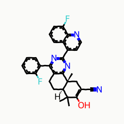 CC1(C)C(O)=C(C#N)C[C@@]2(C)c3nc(-c4ccnc5c(F)cccc45)nc(-c4ccccc4F)c3CC[C@H]12